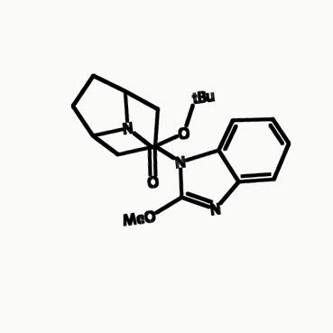 COc1nc2ccccc2n1C1CC2CCC(C1)N2C(=O)OC(C)(C)C